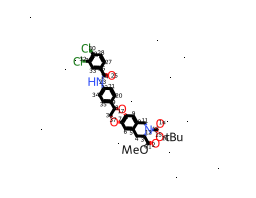 COC(=O)C1Cc2cc3c(cc2CN1C(=O)OC(C)(C)C)OC(c1ccc(NC(=O)c2ccc(Cl)c(Cl)c2)cc1)CO3